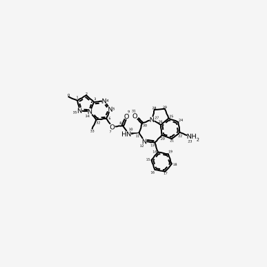 Cc1cc2nnc(OC(=O)N[C@@H]3N=C(c4ccccc4)c4cc(N)cc5c4N(CC5)C3=O)c(C)n2n1